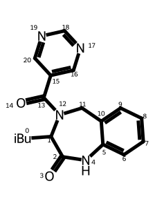 CCC(C)C1C(=O)Nc2ccccc2CN1C(=O)c1cncnc1